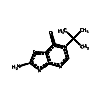 CC(C)(C)n1cnc2nc(N)sc2c1=O